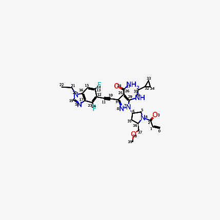 C=CC(=O)N1C[C@@H](n2nc(C#Cc3c(F)cc4c(ncn4CC)c3F)c(C(N)=O)c2NCC2CC2)C[C@@H]1COC